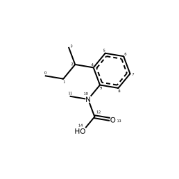 CCC(C)c1ccccc1N(C)C(=O)O